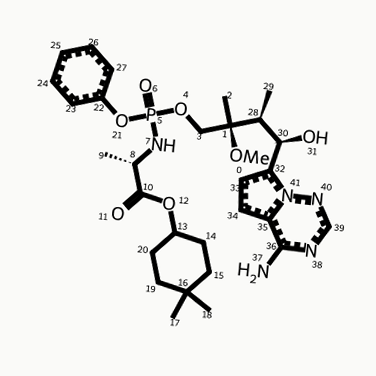 CO[C@](C)(COP(=O)(N[C@@H](C)C(=O)OC1CCC(C)(C)CC1)Oc1ccccc1)[C@@H](C)[C@@H](O)c1ccc2c(N)ncnn12